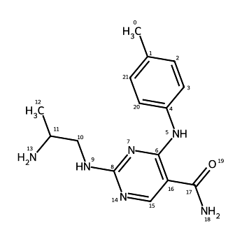 Cc1ccc(Nc2nc(NCC(C)N)ncc2C(N)=O)cc1